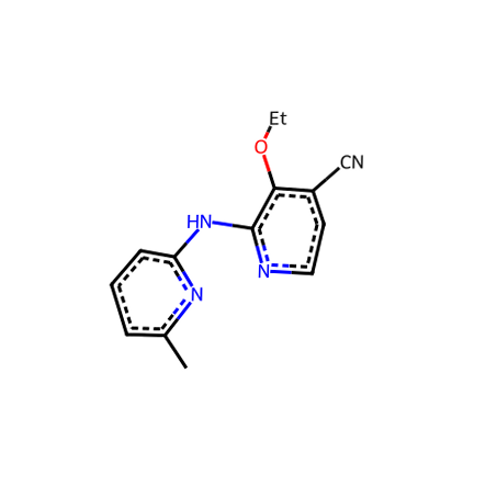 CCOc1c(C#N)ccnc1Nc1cccc(C)n1